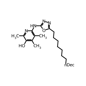 CCCCCCCCCCCCCCCCCc1nnc(Nc2nc(C)c(O)c(C)c2C)o1